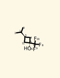 CC(C)[C@H]1C[C@@](O)(C(F)(F)F)C1